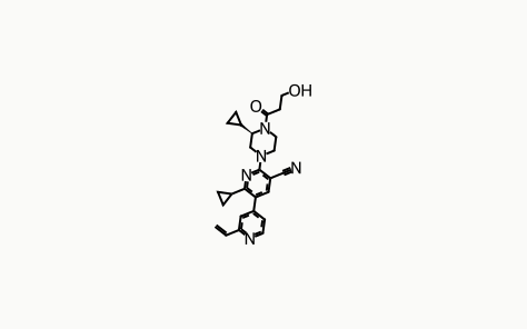 C=Cc1cc(-c2cc(C#N)c(N3CCN(C(=O)CCO)[C@H](C4CC4)C3)nc2C2CC2)ccn1